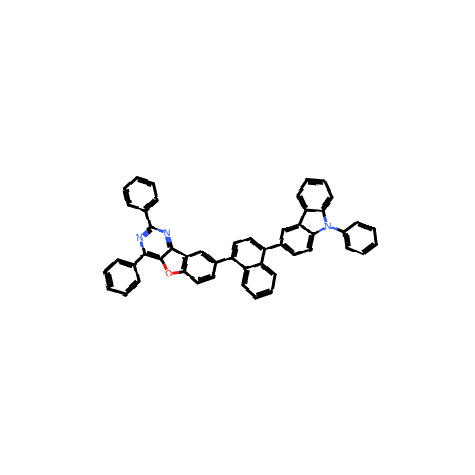 c1ccc(-c2nc(-c3ccccc3)c3oc4ccc(-c5ccc(-c6ccc7c(c6)c6ccccc6n7-c6ccccc6)c6ccccc56)cc4c3n2)cc1